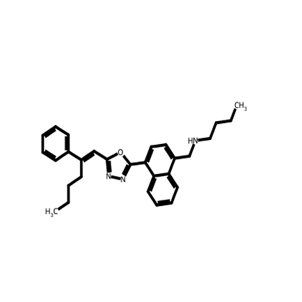 CCCCNCc1ccc(-c2nnc(/C=C(\CCCC)c3ccccc3)o2)c2ccccc12